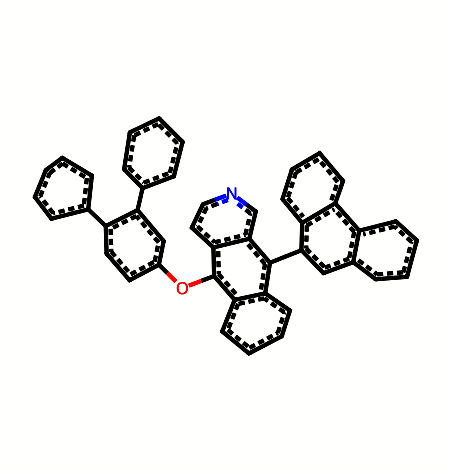 c1ccc(-c2ccc(Oc3c4ccccc4c(-c4cc5ccccc5c5ccccc45)c4cnccc34)cc2-c2ccccc2)cc1